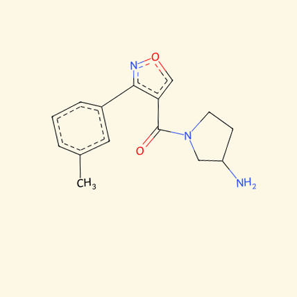 Cc1cccc(-c2nocc2C(=O)N2CCC(N)C2)c1